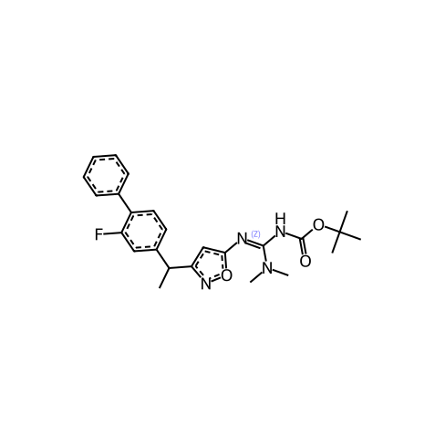 CC(c1ccc(-c2ccccc2)c(F)c1)c1cc(/N=C(/NC(=O)OC(C)(C)C)N(C)C)on1